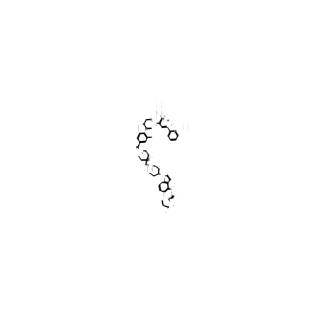 Cc1cc(C(=O)N2CCC(F)(CN3CCC(n4ccc5c(F)c(N6CCC(=O)NC6=O)ccc54)CC3)CC2)ccc1[C@@H]1CN(c2cc(-c3ccccc3O)nnc2N)CCC1(F)F